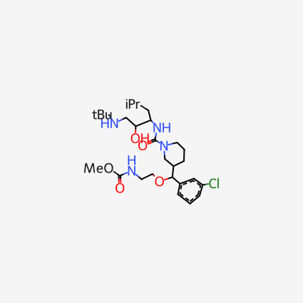 COC(=O)NCCOC(c1cccc(Cl)c1)C1CCCN(C(=O)NC(CC(C)C)C(O)CNC(C)(C)C)C1